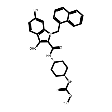 CC(C)(C)OC(=O)N[C@H]1CC[C@H](NC(=O)c2c(C=O)c3ccc(C#N)cc3n2Cc2cccc3ccccc23)CC1